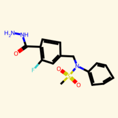 CS(=O)(=O)N(Cc1ccc(C(=O)NN)c(F)c1)c1ccccc1